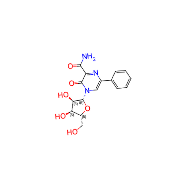 NC(=O)c1nc(-c2ccccc2)cn([C@@H]2O[C@H](CO)[C@@H](O)[C@H]2O)c1=O